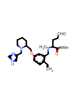 C=Cc1ccc(OCC2CCCCN2Cc2c[nH]cn2)cc1CN(C)C(CCC=O)C(=O)NC